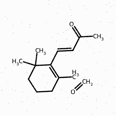 C=O.CC(=O)C=CC1=C(C)CCCC1(C)C